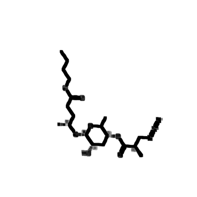 CCCCOC(=O)CC[C@@H](C)O[C@@H]1OC(C)[C@H](OC(=O)[C@H](C)CN=[N+]=[N-])C[C@@H]1O